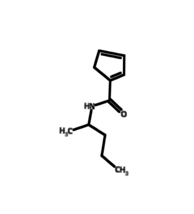 CCCC(C)NC(=O)C1=CC=CC1